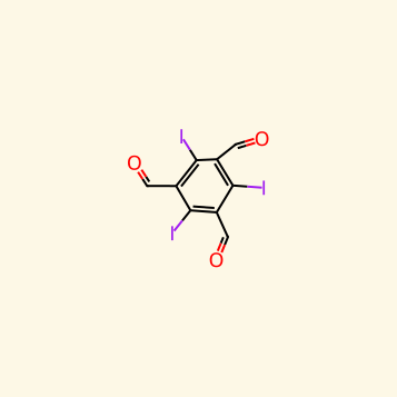 O=Cc1c(I)c(C=O)c(I)c(C=O)c1I